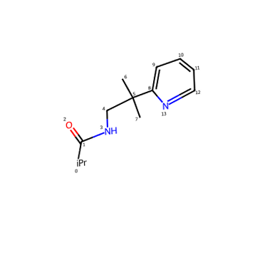 CC(C)C(=O)NCC(C)(C)c1ccccn1